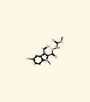 COC(=O)NOC(=O)c1c(C=O)c2cc(F)ccc2n1C